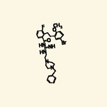 COc1ccc(Br)cc1CCc1c(F)cccc1C(=O)NC(=N)NCCN1CCN(Cc2ccccc2)CC1